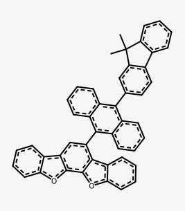 CC1(C)c2ccccc2-c2ccc(-c3c4ccccc4c(-c4cc5c6ccccc6oc5c5oc6ccccc6c45)c4ccccc34)cc21